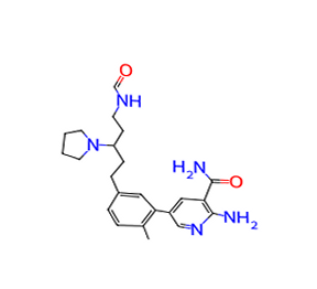 Cc1ccc(CCC(CCNC=O)N2CCCC2)cc1-c1cnc(N)c(C(N)=O)c1